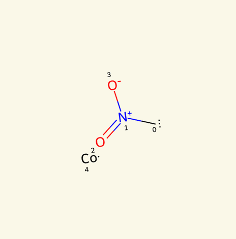 [C][N+](=O)[O-].[Co]